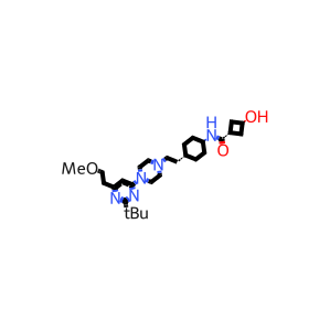 COCCc1cc(N2CCN(CC[C@H]3CC[C@@H](NC(=O)[C@H]4C[C@@H](O)C4)CC3)CC2)nc(C(C)(C)C)n1